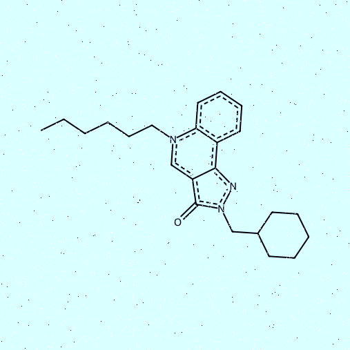 CCCCCCn1cc2c(=O)n(CC3CCCCC3)nc-2c2ccccc21